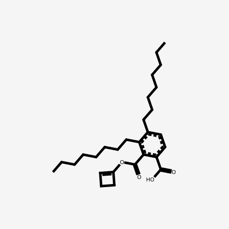 CCCCCCCCc1ccc(C(=O)O)c(C(=O)OC2=CCC2)c1CCCCCCCC